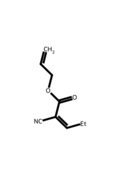 C=CCOC(=O)C(C#N)=CCC